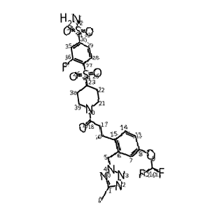 Cc1nnn(Cc2cc(OC(F)F)ccc2CCC(=O)N2CCC(S(=O)(=O)c3ccc(S(N)(=O)=O)cc3F)CC2)n1